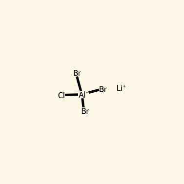 [Cl][Al-]([Br])([Br])[Br].[Li+]